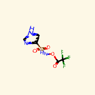 O=C(ONS(=O)(=O)c1c[nH]cn1)C(F)(F)F